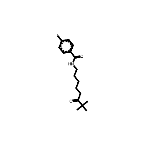 CC(C)(C)C(=O)CCCCCNC(=O)c1ccc(I)cc1